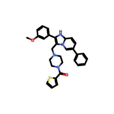 COc1cccc(C2=C(CN3CCN(C(=O)c4cccs4)CC3)N3C=C(c4ccccc4)C=CC3N2)c1